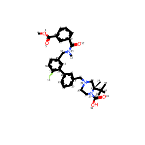 COC(=O)c1cccc(C(=O)N(C)Cc2ccc(F)c(-c3cccc(CN4CCN(C(=O)O)[C@@](C)(C(C)(C)C)C4)c3)c2)c1